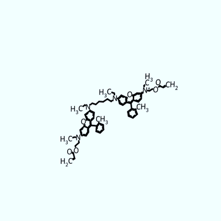 C=CC(=O)OCC/[N+](CC)=c1\ccc2c(-c3ccccc3C)c3ccc(N(CC)CCCCCCN(CC)c4ccc5c(-c6ccccc6C)c6cc/c(=[N+](/CC)CCOC(=O)C=C)cc-6oc5c4)cc3oc-2c1